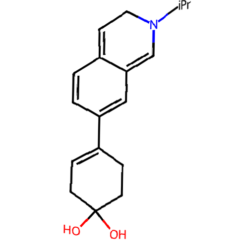 CC(C)N1C=c2cc(C3=CCC(O)(O)CC3)ccc2=CC1